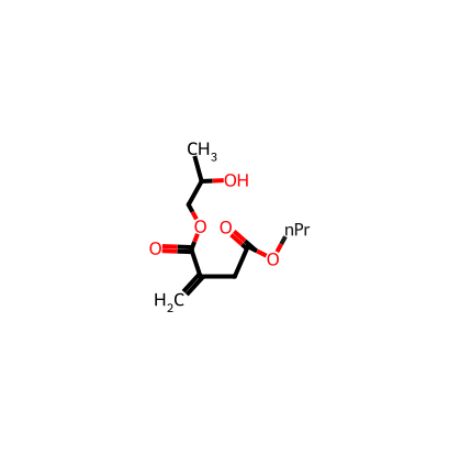 C=C(CC(=O)OCCC)C(=O)OCC(C)O